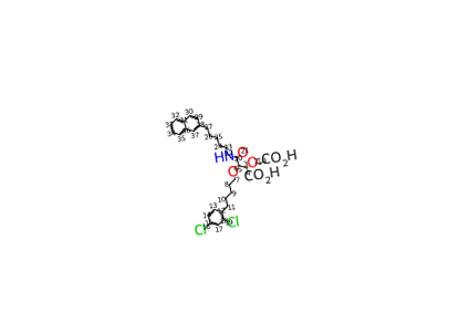 O=C(O)COC(C(=O)O)C(OCCCCCc1ccc(Cl)cc1Cl)C(=O)NCCCCCc1ccc2ccccc2c1